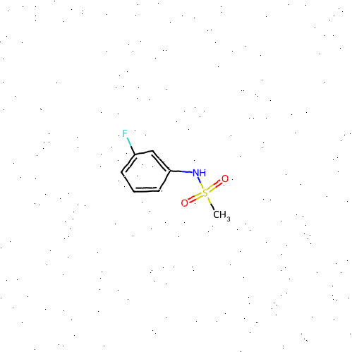 CS(=O)(=O)Nc1[c]ccc(F)c1